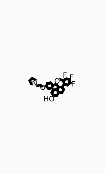 Oc1ccc2c3c(ccc2c1)-c1cc(F)c(F)c(F)c1COC3c1ccc(OCCN2CCCC2)cc1